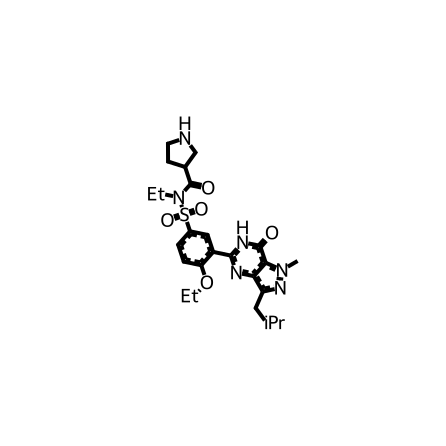 CCOc1ccc(S(=O)(=O)N(CC)C(=O)C2CCNC2)cc1-c1nc2c(CC(C)C)nn(C)c2c(=O)[nH]1